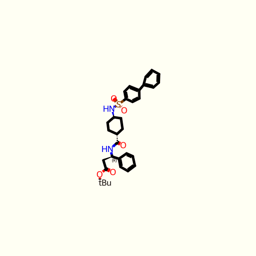 CC(C)(C)OC(=O)C[C@@H](NC(=O)[C@H]1CC[C@H](NS(=O)(=O)c2ccc(-c3ccccc3)cc2)CC1)c1ccccc1